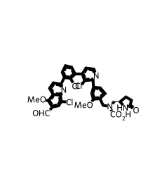 COc1cc(-c2nccc(-c3cccc(-c4ccc5c(OC)c(C=O)cc(Cl)c5n4)c3Cl)c2Cl)ccc1CN(C[C@@H]1CCC(=O)N1)C(=O)O